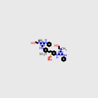 CN(CCO)c1nc(Nc2ccccc2)nc(Nc2ccc(/C=C/c3ccc(Nc4nc(Nc5ccccc5)nc(N(C)CCO)n4)cc3S(=O)(=O)O)c(SOOO)c2)n1